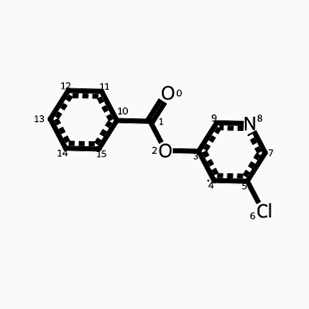 O=C(Oc1[c]c(Cl)cnc1)c1ccccc1